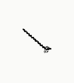 CCCCCCCCCCCC=CCCCCCCCCC(CCC)(P(=O)=O)[N+](C)(C)C